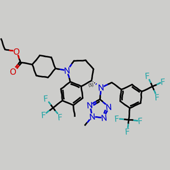 CCOC(=O)C1CCC(N2CCC[C@H](N(Cc3cc(C(F)(F)F)cc(C(F)(F)F)c3)c3nnn(C)n3)c3cc(C)c(C(F)(F)F)cc32)CC1